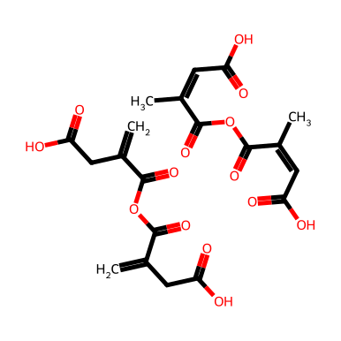 C/C(=C/C(=O)O)C(=O)OC(=O)/C(C)=C\C(=O)O.C=C(CC(=O)O)C(=O)OC(=O)C(=C)CC(=O)O